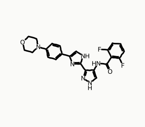 O=C(Nc1c[nH]nc1-c1nc(-c2ccc(N3CCOCC3)cc2)c[nH]1)c1c(F)cccc1F